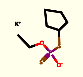 CCOP([O-])(=S)SC1CCCC1.[K+]